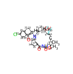 C[C@@H]1[C@@H](C)C/C=C/[C@@](O)(C(F)(F)F)[C@@H]2CC[C@H]2CN2C[C@@]3(CCCc4cc(Cl)ccc43)COc3ccc(cc32)C(=O)NS1(=O)=O